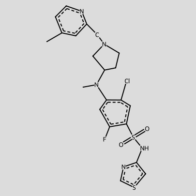 Cc1ccnc(CN2CCC(N(C)c3cc(F)c(S(=O)(=O)Nc4cscn4)cc3Cl)C2)c1